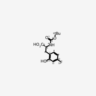 CC(C)(C)OC(=O)N[C@@H](Cc1ccc(F)cc1O)C(=O)O